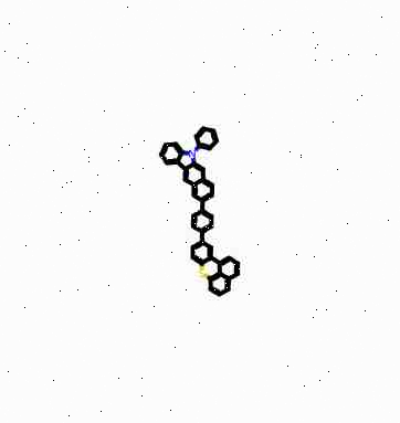 c1ccc(-n2c3ccccc3c3cc4cc(-c5ccc(-c6ccc7c(c6)-c6cccc8cccc(c68)S7)cc5)ccc4cc32)cc1